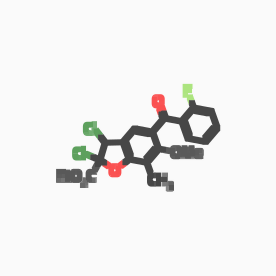 CCOC(=O)C1(Cl)Oc2c(cc(C(=O)c3ccccc3F)c(OC)c2C)C1Cl